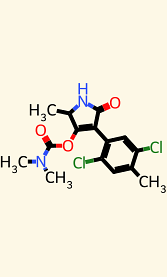 Cc1cc(Cl)c(C2=C(OC(=O)N(C)C)C(C)NC2=O)cc1Cl